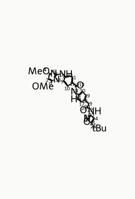 COc1cc(OC)nc(Nc2ccc(C(=O)Nc3ccc(CC(=O)Nc4cc(C(C)(C)C)on4)cc3)cc2)n1